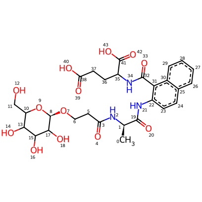 C[C@@H](NC(=O)CCO[C@@H]1OC(CO)C(O)C(O)C1O)C(=O)Nc1ccc2ccccc2c1C(=O)NC(CCC(=O)O)C(=O)O